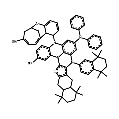 CC(C)(C)C1=CC=C2CC(C1)OC1=CC=CC(N3c4ccc(C(C)(C)C)cc4B4c5oc6c(c5N(c5ccc7c(c5)C(C)(C)CCC7(C)C)c5cc(N(c7ccccc7)c7ccccc7)cc3c54)CC3C(C6)C(C)(C)CCC3(C)C)C21